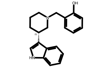 Oc1ccccc1CN1CCC[C@@H](c2c[nH]c3ccccc23)C1